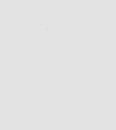 N#CC1CC(F)(F)CN1C(=O)CNC(=O)c1ccncc1C=Cc1cn2cc(F)ccc2n1